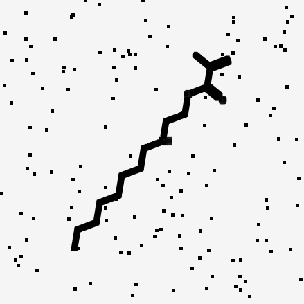 C=C(C)C(=O)OCCNCCCCCCCC